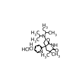 CC(C)N(CCC1(c2ccccn2)CC(C)(C)C(=O)NC1=O)C(C)C.Cl.Cl